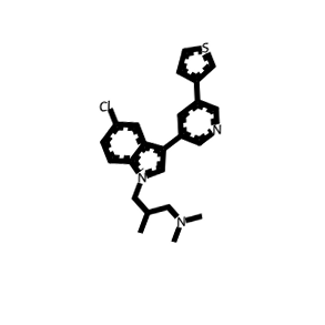 CC(CN(C)C)Cn1cc(-c2cncc(-c3ccsc3)c2)c2cc(Cl)ccc21